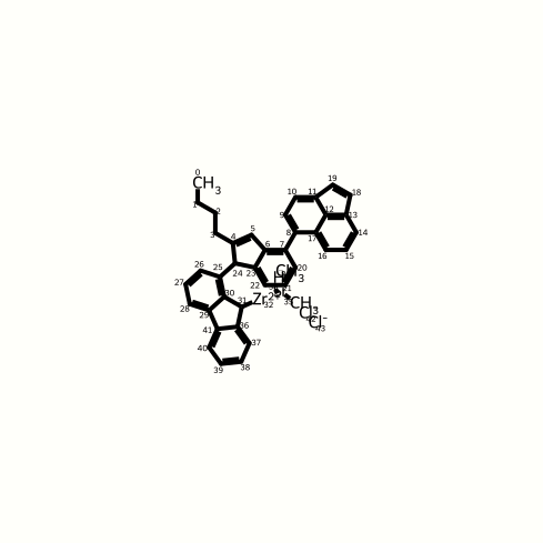 CCCCC1=Cc2c(-c3ccc4c5c(cccc35)C=C4)cccc2C1c1cccc2c1[CH]([Zr+2][SiH](C)C)c1ccccc1-2.[Cl-].[Cl-]